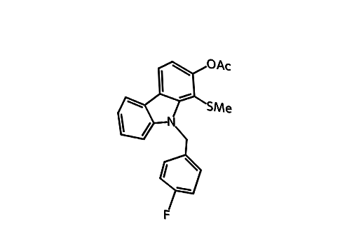 CSc1c(OC(C)=O)ccc2c3ccccc3n(Cc3ccc(F)cc3)c12